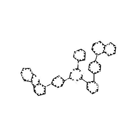 c1ccc(-c2nc(-c3ccc(-c4cccc5c4oc4ccccc45)cc3)nc(-c3ccccc3-c3ccc(-c4cccc5ccccc45)cc3)n2)cc1